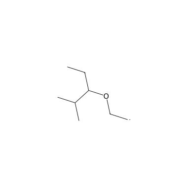 [CH2]COC(CC)C(C)C